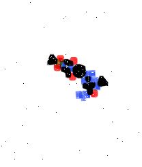 NC(=O)c1cnc(Nc2ccc3c(c2)OCC2CN(S(=O)(=O)C4CC4)CC(=O)N32)nc1NC1CC1